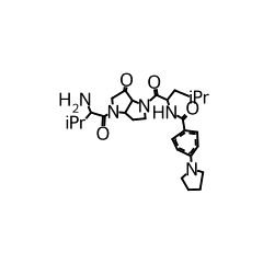 CC(C)CC(NC(=O)c1ccc(N2CCCC2)cc1)C(=O)N1CCC2C1C(=O)CN2C(=O)C(N)C(C)C